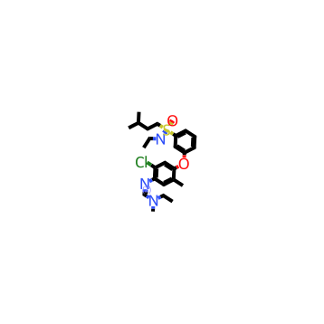 CCN=S(=O)(CCC(C)C)c1cccc(Oc2cc(Cl)c(/N=C\N(C)CC)cc2C)c1